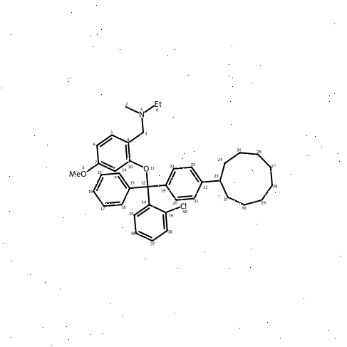 CCN(C)Cc1ccc(OC)cc1OC(c1ccccc1)(c1ccc(C2CCCCCCCC2)cc1)c1ccccc1Cl